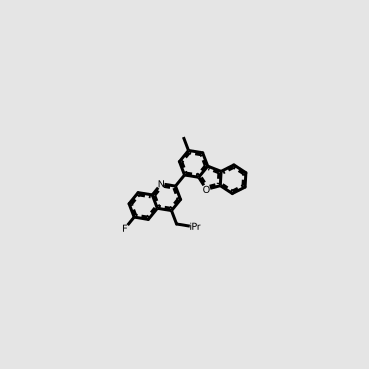 Cc1cc(-c2cc(CC(C)C)c3cc(F)ccc3n2)c2oc3ccccc3c2c1